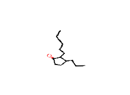 CCCCCC1C(=O)CCC1CCC